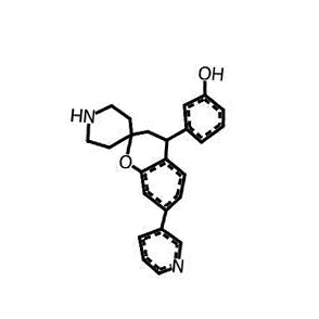 Oc1cccc(C2CC3(CCNCC3)Oc3cc(-c4cccnc4)ccc32)c1